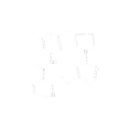 Cc1cc(C)cc(NC(=O)c2cccnc2SCc2ccnc(N3CCCCC3)c2)c1